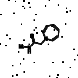 CCNC(=O)CN1C=CC=CC=C1